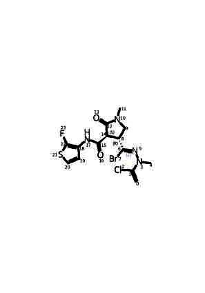 C=C(Cl)N(C)/N=C(\Br)[C@H]1CN(C)C(=O)[C@@H]1C(=O)Nc1ccsc1F